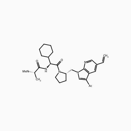 C=Cc1cnc2c(c1)c(C(C)=O)cn2C[C@@H]1CCCN1C(=O)[C@@H](NC(=O)[C@H](C)NC)C1CCCCC1